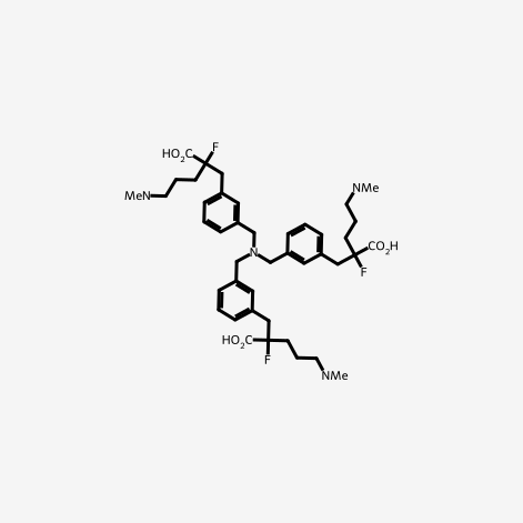 CNCCCC(F)(Cc1cccc(CN(Cc2cccc(CC(F)(CCCNC)C(=O)O)c2)Cc2cccc(CC(F)(CCCNC)C(=O)O)c2)c1)C(=O)O